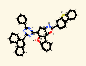 c1ccc(-c2nc(-c3cc4ccccc4c4ccccc34)nc(-c3cc4nc(-c5ccc6c(c5)sc5ccccc56)oc4c4c3oc3ccccc34)n2)cc1